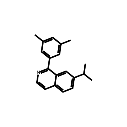 Cc1cc(C)cc(-c2nccc3ccc(C(C)C)cc23)c1